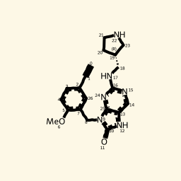 C#Cc1ccc(OC)c(Cn2c(=O)[nH]c3cnc(NC[C@@H]4CCNC4)nc32)c1